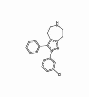 Clc1cccc(-n2nc3c(c2-c2ccccc2)CCNCC3)c1